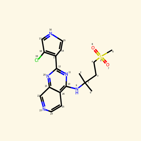 CC(C)(CCS(C)(=O)=O)Nc1nc(-c2ccncc2Cl)nc2cnccc12